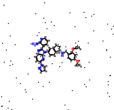 COc1ccc(CN[C@H]2CCc3cc(-n4c(-c5cccnc5N)nc5ccc(-n6cccn6)nc54)ccc32)c(OC)c1